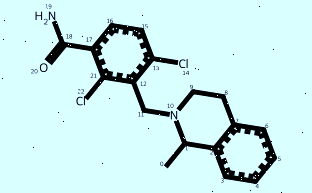 CC1c2ccccc2CCN1Cc1c(Cl)ccc(C(N)=O)c1Cl